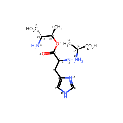 C[C@@H](OC(=O)[C@@H](N)Cc1c[nH]cn1)[C@H](N)C(=O)O.C[C@H](N)C(=O)O